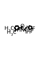 Cc1ccc(C(=O)NC(CN2CCC(F)(F)C2)C(C)C)cc1C